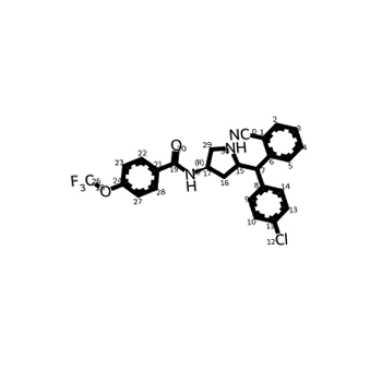 N#Cc1ccccc1C(c1ccc(Cl)cc1)C1C[C@@H](NC(=O)c2ccc(OC(F)(F)F)cc2)CN1